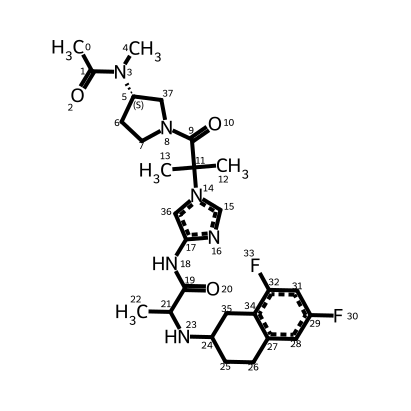 CC(=O)N(C)[C@H]1CCN(C(=O)C(C)(C)n2cnc(NC(=O)C(C)NC3CCc4cc(F)cc(F)c4C3)c2)C1